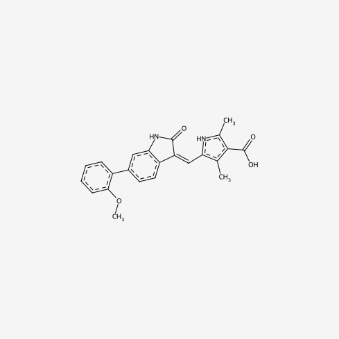 COc1ccccc1-c1ccc2c(c1)NC(=O)C2=Cc1[nH]c(C)c(C(=O)O)c1C